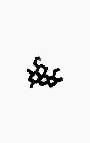 CCn1c(=O)ccc2cc3c(C)cc(=O)n4c3c(c21)OCC4CN